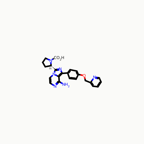 Nc1nccn2c([C@@H]3CCCN3C(=O)O)nc(-c3ccc(OCc4ccccn4)cc3)c12